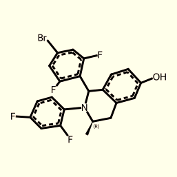 C[C@@H]1Cc2cc(O)ccc2C(c2c(F)cc(Br)cc2F)N1c1ccc(F)cc1F